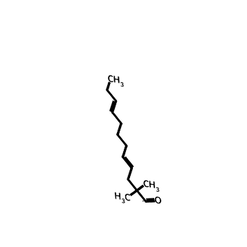 CC/C=C/CCC/C=C/CC(C)(C)[C]=O